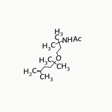 C=C(C)CCC(C)(C)OCCC(C)(C)NC(C)=O